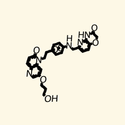 O=C1COc2ccc(CNC34CCC(CCn5c(=O)ccc6ncc(OCCCO)cc65)(CC3)OC4)nc2N1